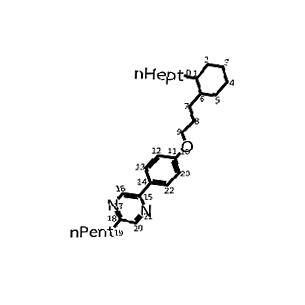 CCCCCCCC1CCCCC1CCCOc1ccc(-c2cnc(CCCCC)cn2)cc1